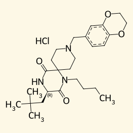 CCCCN1C(=O)[C@@H](CC(C)(C)C)NC(=O)C12CCN(Cc1ccc3c(c1)OCCO3)CC2.Cl